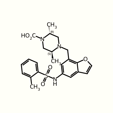 Cc1ccccc1S(=O)(=O)Nc1cc(CN2C[C@@H](C)N(C(=O)O)C[C@@H]2C)c2occc2c1